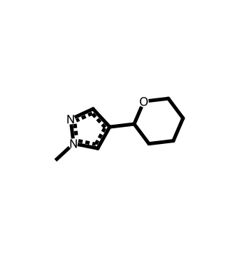 Cn1cc(C2CCCCO2)cn1